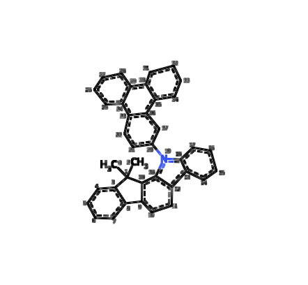 CC1(C)c2ccccc2-c2ccc3c4ccccc4n(-c4ccc5c6ccccc6c6ccccc6c5c4)c3c21